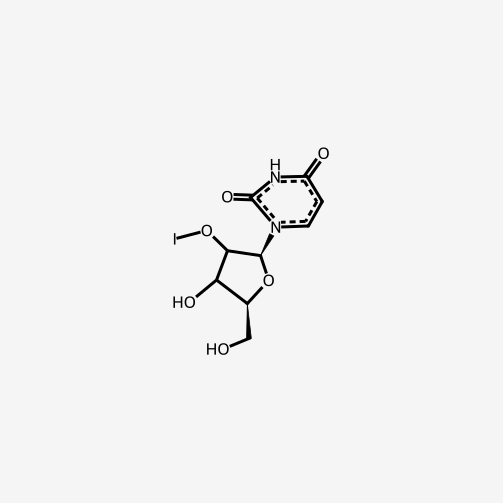 O=c1ccn([C@H]2O[C@@H](CO)C(O)C2OI)c(=O)[nH]1